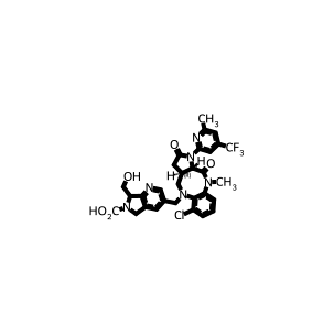 Cc1cc(C(F)(F)F)cc(N2C(=O)C[C@@H]3CN(Cc4cnc5c(c4)CN(C(=O)O)C5CO)c4c(Cl)cccc4N(C)C(=O)[C@H]32)n1